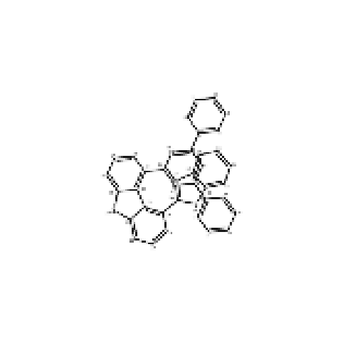 c1ccc(-c2cc(-c3ccccc3)nc(-c3cccc4sc5cccc(-c6nc7ccccc7s6)c5c34)n2)cc1